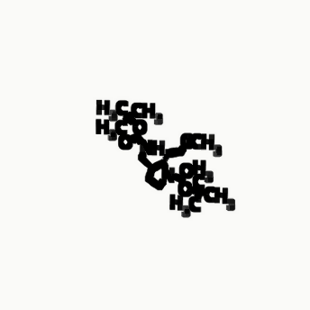 CO/C=C/[C@H]1[C@H](CNC(=O)OC(C)(C)C)CCN1C(=O)OC(C)(C)C